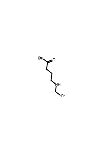 CCC(C)C(=O)CCCNCC(C)C